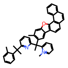 Cc1ccccc1C(C)(C)c1cccc(C(C)(c2cc3c(cc2C)oc2c3ccc3ccc4ccccc4c32)c2cccc[n+]2C)n1